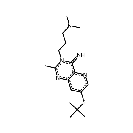 Cc1nc2cc(SC(C)(C)C)cnc2c(=N)n1CCCN(C)C